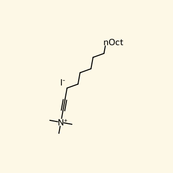 CCCCCCCCCCCCCCC#C[N+](C)(C)C.[I-]